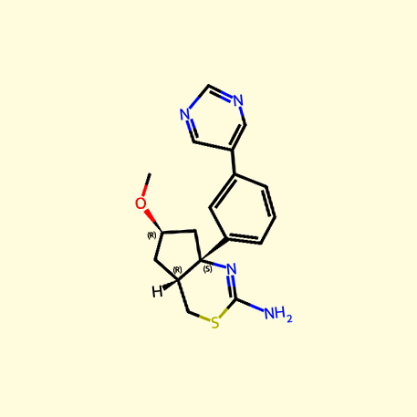 CO[C@@H]1C[C@H]2CSC(N)=N[C@@]2(c2cccc(-c3cncnc3)c2)C1